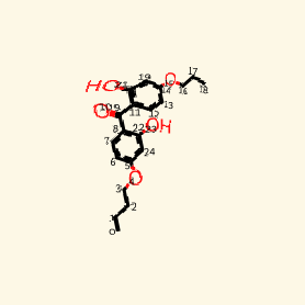 CCCCOc1ccc(C(=O)c2ccc(OCCC)cc2O)c(O)c1